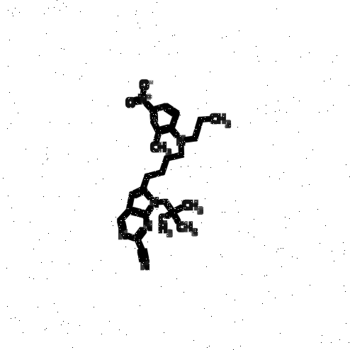 CCCN(CCCCc1cc2cnc(C#N)nc2n1CC(C)(C)C)c1ccc([N+](=O)[O-])cc1C